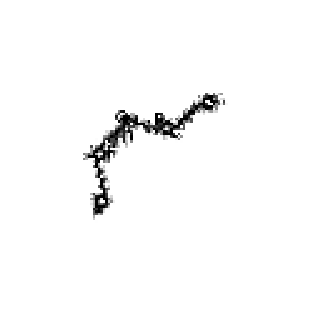 Cc1cc(CNCCCO[PH](=O)OCCCNCc2cc(C)c(CCCCCCc3ccc(F)cc3)cc2F)c(F)cc1CCCCCCc1ccc(F)cc1